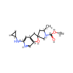 CC1CC2(Cc3cc(NC4CC4)ncc3O2)CN1C(=O)OC(C)(C)C